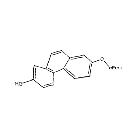 CCCCCOc1ccc2c(ccc3cc(O)ccc32)c1